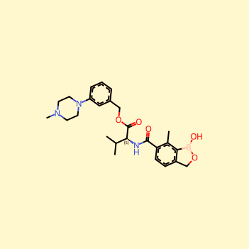 Cc1c(C(=O)N[C@H](C(=O)OCc2cccc(N3CCN(C)CC3)c2)C(C)C)ccc2c1B(O)OC2